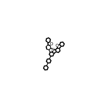 C1=CC2c3cc(-c4ccc(-c5ccccc5)cc4)cc4c5ccc6c7ccccc7oc6c5n(c34)C2c2oc3ccccc3c21